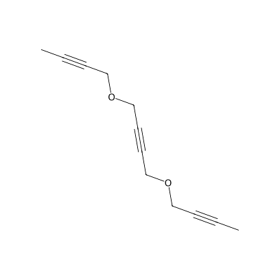 CC#CCOCC#CCOCC#CC